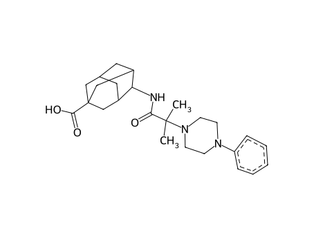 CC(C)(C(=O)NC1C2CC3CC1CC(C(=O)O)(C3)C2)N1CCN(c2ccccc2)CC1